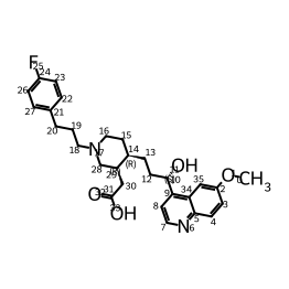 COc1ccc2nccc([C@@H](O)CC[C@@H]3CCN(CCCc4ccc(F)cc4)C[C@@H]3CC(=O)O)c2c1